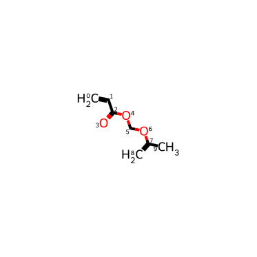 C=CC(=O)OCOC(=C)C